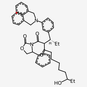 CCC(O)CCCCCC(=O)C(C(=O)N1C(=O)OCC1c1ccccc1)[C@@H](CC)c1cccc(N(Cc2ccccc2)Cc2ccccc2)c1